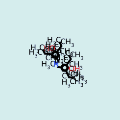 CN(Cc1cc(C(C)(C)CC(C)(C)C)c(O)c(C(C)(C)CC(C)(C)C)c1)Cc1cc(C(C)(C)CC(C)(C)C)c(O)c(C(C)(C)CC(C)(C)C)c1